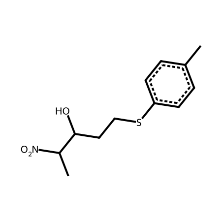 Cc1ccc(SCCC(O)C(C)[N+](=O)[O-])cc1